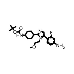 COCCn1c(-c2ccc(N)cc2F)cnc1C1CCC(NC(=O)OC(C)(C)C)CC1